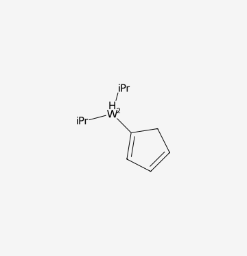 C[CH](C)[WH2]([C]1=CC=CC1)[CH](C)C